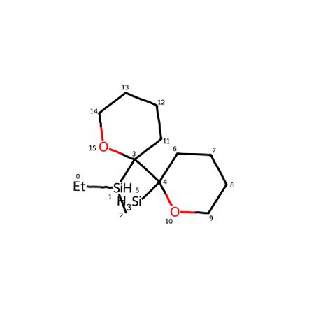 CC[SiH](C)C1(C2([SiH3])CCCCO2)CCCCO1